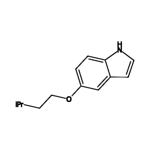 CC(C)CCOc1ccc2[nH]ccc2c1